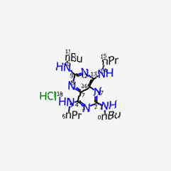 CCCCNc1nc(NCCC)c2nc(NCCCC)nc(NCCC)c2n1.Cl